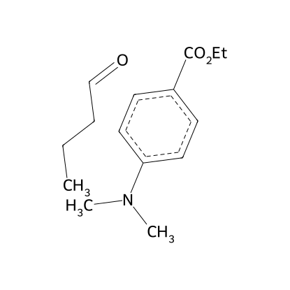 CCCC=O.CCOC(=O)c1ccc(N(C)C)cc1